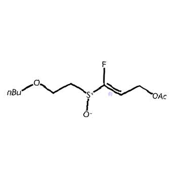 CCCCOCC[S+]([O-])/C(F)=C/COC(C)=O